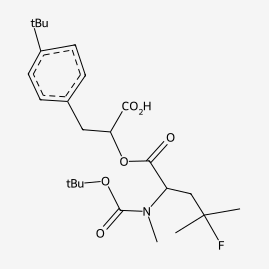 CN(C(=O)OC(C)(C)C)C(CC(C)(C)F)C(=O)OC(Cc1ccc(C(C)(C)C)cc1)C(=O)O